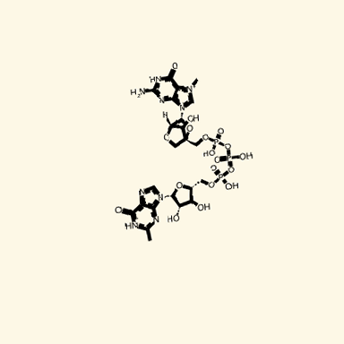 Cc1nc2c(ncn2[C@@H]2O[C@H](COP(=O)(O)OP(=O)(O)OP(=O)(O)OC[C@@]34CO[C@@H](C3O)[C@H](n3c[n+](C)c5c(=O)[nH]c(N)nc53)O4)C(O)[C@@H]2O)c(=O)[nH]1